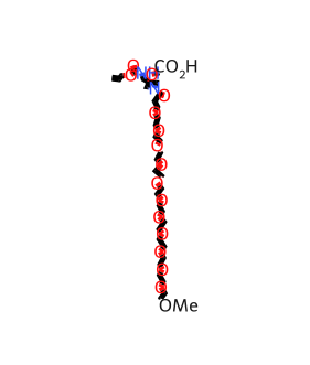 C=CCOC(=O)NCC1(OCC(=O)O)CN(C(=O)CCOCCOCCOCCOCCOCCOCCOCCOCCOCCOCCOCCOC)C1